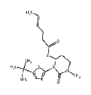 C/C=C/CCC(=O)OC1CCN(C)C(=O)N1c1nnc(C(C)(C)C)s1